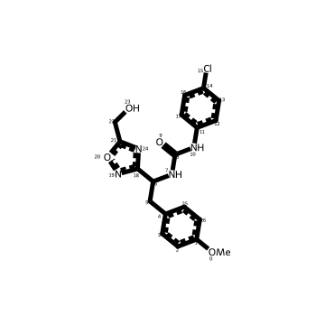 COc1ccc(CC(NC(=O)Nc2ccc(Cl)cc2)c2noc(CO)n2)cc1